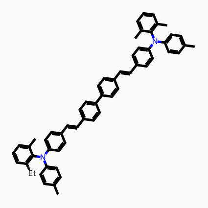 CCc1cccc(C)c1N(c1ccc(C)cc1)c1ccc(C=Cc2ccc(-c3ccc(C=Cc4ccc(N(c5ccc(C)cc5)c5c(C)cccc5C)cc4)cc3)cc2)cc1